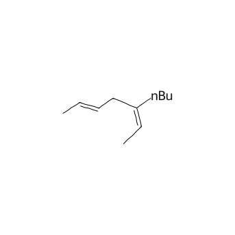 CC=CCC(=CC)CCCC